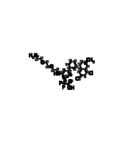 CN1Cc2c(Cl)cc(Cl)cc2[C@H](c2cccc(-c3cc(NCCOCCOCCN)ncn3)c2)C1.O=C(O)C(F)(F)F